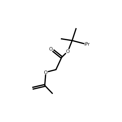 C=C(C)OCC(=O)OC(C)(C)C(C)C